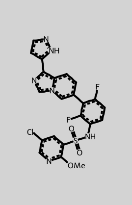 COc1ncc(Cl)cc1S(=O)(=O)Nc1ccc(F)c(-c2ccc3c(-c4ccn[nH]4)ncn3c2)c1F